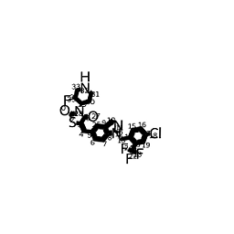 O=C1SC(=Cc2ccc3c(cnn3Cc3ccc(Cl)cc3C(F)(F)F)c2)C(=O)N1[C@@H]1CCNC[C@H]1F